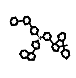 CC1(c2ccccc2)c2ccccc2-c2c(-c3cccc(N(c4ccc(-c5cccc(-c6ccccc6)c5)cc4)c4ccc(-c5cccc6ccccc56)cc4)c3)cccc21